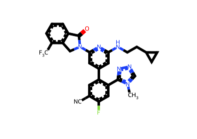 Cn1cnnc1-c1cc(F)c(C#N)cc1-c1cc(NCCC2CC2)nc(N2Cc3c(cccc3C(F)(F)F)C2=O)c1